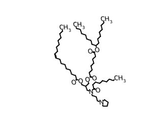 CCCCCCCC/C=C\CCCCCCCC(=O)OCC(COC(=O)CCCCCCC(=O)OC(CCCCCCCC)CCCCCCCC)CN(CCCN1CCCC1)C(=O)CCCCCCCC